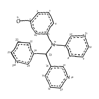 Clc1cccc(N(c2cccnc2)C(c2cccnc2)c2cccnc2)c1